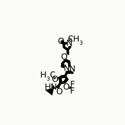 COc1cc(-c2cnc3cc(OCC4CC(=O)N(C)C4)ccn23)cc(OC(F)F)c1C(=O)NC1CC1